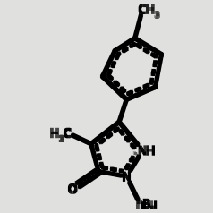 CCCCn1[nH]c(-c2ccc(C)cc2)c(C)c1=O